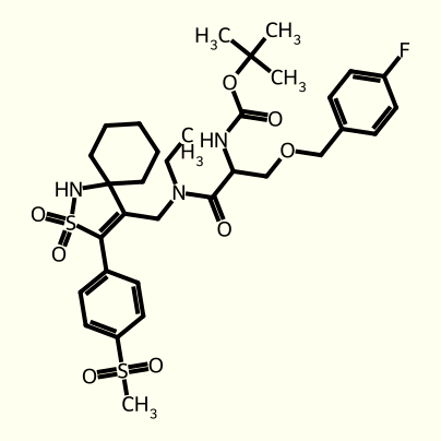 CCN(CC1=C(c2ccc(S(C)(=O)=O)cc2)S(=O)(=O)NC12CCCCC2)C(=O)C(COCc1ccc(F)cc1)NC(=O)OC(C)(C)C